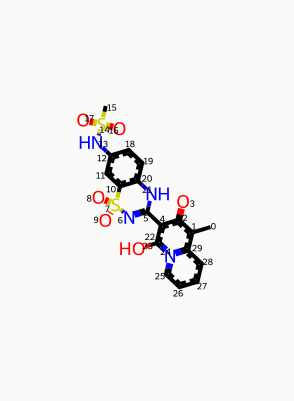 Cc1c(=O)c(C2=NS(=O)(=O)c3cc(NS(C)(=O)=O)ccc3N2)c(O)n2ccccc12